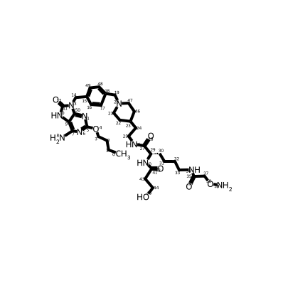 CCCCOc1nc(N)c2[nH]c(=O)n(Cc3ccc(CN4CCC(CCNC(=O)[C@H](CCCCNC(=O)CON)NC(=O)CCO)CC4)cc3)c2n1